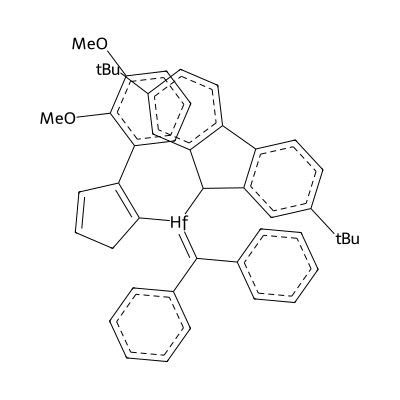 COc1cccc(C2=[C]([Hf](=[C](c3ccccc3)c3ccccc3)[CH]3c4cc(C(C)(C)C)ccc4-c4ccc(C(C)(C)C)cc43)CC=C2)c1OC